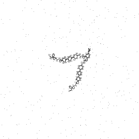 C=CC(=O)OCCCOc1ccc(-c2ccc(C3CCC(CCCOc4ccc(C#N)cc4OCCCC4CCC(c5ccc(-c6ccc(OCCCOC(=O)C=C)cc6)cc5)CC4)CC3)cc2)cc1